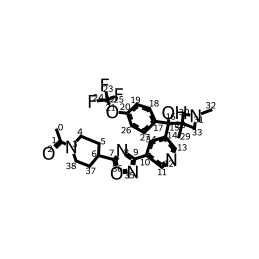 CC(=O)N1CCC(c2nc(-c3cncc(C(O)(c4ccc(OC(F)(F)F)cc4)C4(C)CN(C)C4)c3)no2)CC1